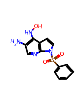 Nc1cnc2c(ccn2S(=O)(=O)c2ccccc2)c1NO